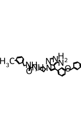 Cc1cccc(CNC(=O)NC[C@H]2C[C@H](n3cc(-c4cccc(OCc5ccccc5)c4)c4c(N)ncnc43)C2)c1